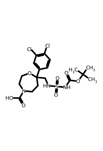 CC(C)(C)OC(=O)NS(=O)(=O)NCC1(c2ccc(Cl)c(Cl)c2)CCN(C(=O)O)CCO1